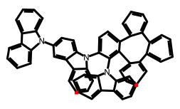 c1ccc2c(c1)-c1ccccc1-c1ccc(-n3c4ccccc4c4cc(-n5c6ccccc6c6ccccc65)ccc43)c(-n3c4ccccc4c4ccccc43)c1-c1ccccc1-2